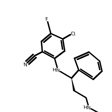 CNCC[C@@H](Nc1cc(Cl)c(F)cc1C#N)c1ccccc1